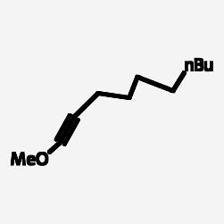 [CH2]CCCCCCCC#COC